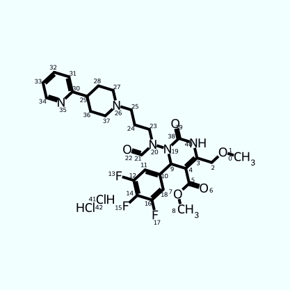 COCC1=C(C(=O)OC)C(c2cc(F)c(F)c(F)c2)N(N(C=O)CCCN2CCC(c3ccccn3)CC2)C(=O)N1.Cl.Cl